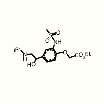 CCOC(=O)COc1ccc(C(O)CNC(C)C)cc1NS(C)(=O)=O